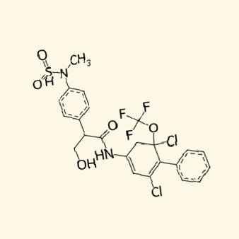 CN(c1ccc(C(CO)C(=O)NC2=CC(Cl)=C(c3ccccc3)C(Cl)(OC(F)(F)F)C2)cc1)[SH](=O)=O